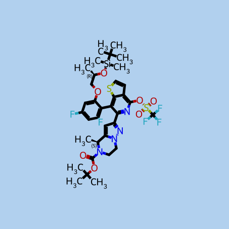 C[C@H](COc1cc(F)cc(F)c1-c1c(-c2cc3n(n2)CCN(C(=O)OC(C)(C)C)[C@H]3C)nc(OS(=O)(=O)C(F)(F)F)c2ccsc12)O[Si](C)(C)C(C)(C)C